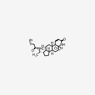 CC(C)SCC(=O)NC(C)[C@H]1CC[C@H]2[C@@H]3CC[C@H]4NC(=O)C=C[C@]4(C)[C@H]3CC[C@]12C